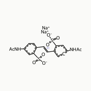 CC(=O)Nc1ccc(/C=C/c2ccc(NC(C)=O)cc2S(=O)(=O)[O-])c(S(=O)(=O)[O-])c1.[Na+].[Na+]